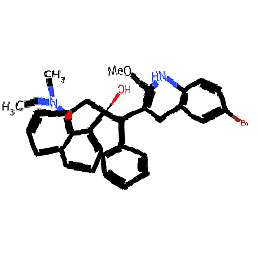 COC1=C(C(c2ccccc2)[C@@](O)(CCN(C)C)c2cccc3ccccc23)Cc2cc(Br)ccc2N1